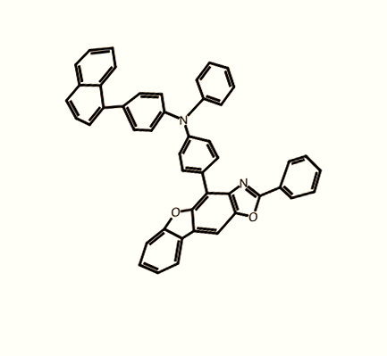 c1ccc(-c2nc3c(-c4ccc(N(c5ccccc5)c5ccc(-c6cccc7ccccc67)cc5)cc4)c4oc5ccccc5c4cc3o2)cc1